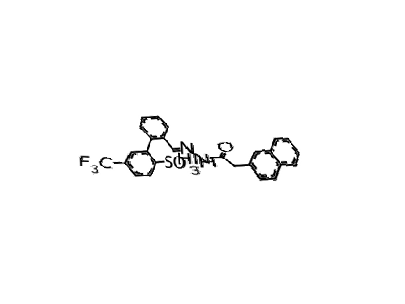 O=C(Cc1ccc2ccccc2c1)NN=Cc1ccccc1-c1cc(C(F)(F)F)ccc1S(=O)(=O)O